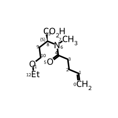 C=CCCC(=O)N(C)[C@@H](CCOCC)C(=O)O